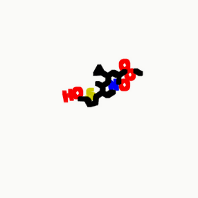 CCOC(=O)c1cc(C2CC2)c2c(C)c(-c3ccc(CO)s3)ccn2c1=O